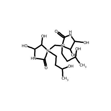 CC(O)CC[N+]1(C[N+]2(CCC(C)O)C(=O)NC(O)C2O)C(=O)NC(O)C1O